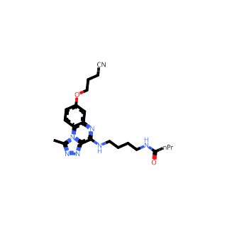 CCCC(=O)NCCCCNc1nc2cc(OCCCC#N)ccc2n2c(C)nnc12